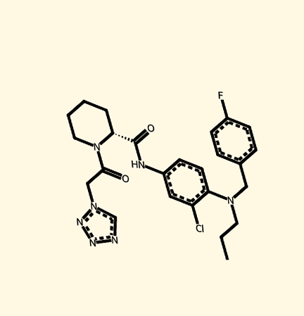 CCCN(Cc1ccc(F)cc1)c1ccc(NC(=O)[C@H]2CCCCN2C(=O)Cn2cnnn2)cc1Cl